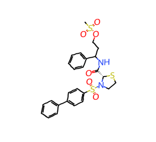 CS(=O)(=O)OCCC(NC(=O)[C@@H]1SCCN1S(=O)(=O)c1ccc(-c2ccccc2)cc1)c1ccccc1